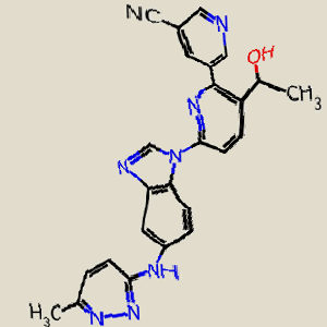 Cc1ccc(Nc2ccc3c(c2)ncn3-c2ccc(C(C)O)c(-c3cncc(C#N)c3)n2)nn1